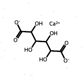 O=C([O-])C(O)C(O)C(O)C(O)C(=O)[O-].[Ca+2]